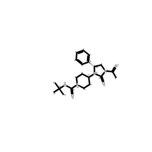 CC(=O)N1C[C@@H](c2ccccc2)N(C2CCN(C(=O)OC(C)(C)C)CC2)C1=O